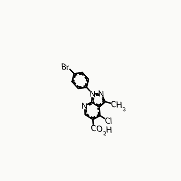 Cc1nn(-c2ccc(Br)cc2)c2ncc(C(=O)O)c(Cl)c12